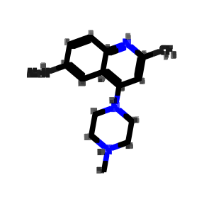 CNc1ccc2nc(C(F)(F)F)cc(N3CCN(C)CC3)c2c1